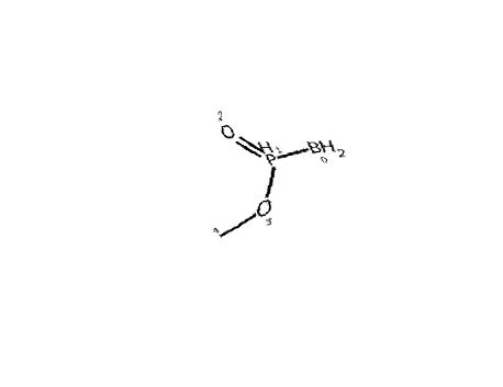 B[PH](=O)OC